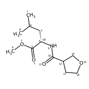 COC(=O)[C@H](CC(C)C)NC(=O)C1CCOC1